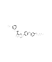 CNCc1cccc(Cc2ccc(N3CCn4ncc(C(=O)Nc5cccc(C#N)c5)c4C3=O)cc2)c1